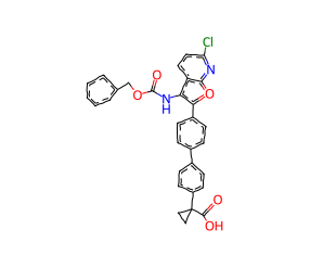 O=C(Nc1c(-c2ccc(-c3ccc(C4(C(=O)O)CC4)cc3)cc2)oc2nc(Cl)ccc12)OCc1ccccc1